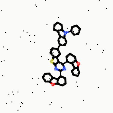 c1ccc(-n2c3ccccc3c3cc(-c4ccc5sc6nc(-c7cccc8oc9ccccc9c78)nc(-c7cccc8oc9ccccc9c78)c6c5c4)ccc32)cc1